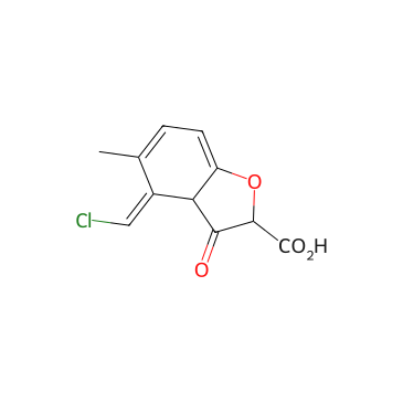 CC1=CC=C2OC(C(=O)O)C(=O)C2C1=CCl